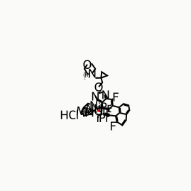 COc1c(F)c(-c2cccc3ccc(F)c(C#C[Si](C(C)C)(C(C)C)C(C)C)c23)c(F)c2nc(OCC3(CN4CCOC[C@H]4C)CC3)nc(N3CC4CCC(C3)N4)c12.Cl